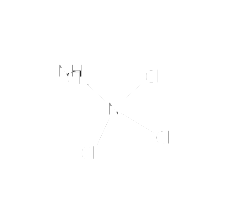 Cl[N+](Cl)(Cl)Cl.N